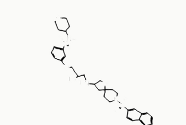 O=S(=O)(NC1CCOCC1)c1cccc(OCC(O)CNC2COC3(CCN(S(=O)(=O)c4ccc5ccccc5c4)CC3)C2)c1